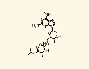 CNc1nc(N)nc2c1ncn2[C@@H](C)O[C@H](CO[PH](=O)N[C@@H](C)C(=O)OC(C)C)C(C)O